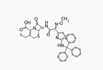 CON=C(C(=O)N[C@H]1C(=O)N2C(C(=O)O)=C(CI)CSC12)c1csc(NC(c2ccccc2)(c2ccccc2)c2ccccc2)n1